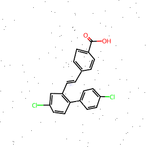 O=C(O)c1ccc(/C=C/c2cc(Cl)ccc2-c2ccc(Cl)cc2)cc1